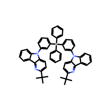 CC(C)(C)c1ccc2c(n1)c1ccccc1n2-c1cccc([Si](c2ccccc2)(c2ccccc2)c2cccc(-n3c4ccccc4c4nc(C(C)(C)C)ccc43)c2)c1